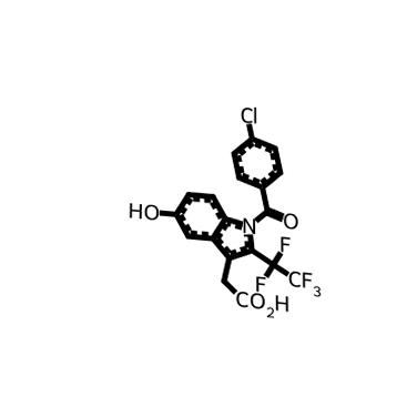 O=C(O)Cc1c(C(F)(F)C(F)(F)F)n(C(=O)c2ccc(Cl)cc2)c2ccc(O)cc12